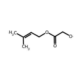 CC(C)=CCOC(=O)C[O]